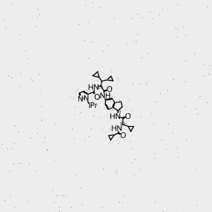 CC(C)n1nccc1C(=O)N[C@H](C(=O)Nc1ccc2c(c1)CC[C@H]2NC(=O)[C@H](NC(=O)C1CC1)C1CC1)C(C1CC1)C1CC1